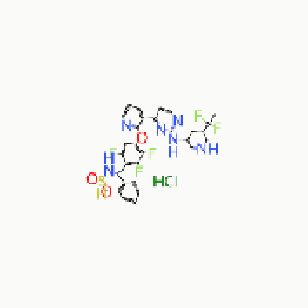 CC(F)(F)C1CNCC(Nc2nccc(-c3cccnc3Oc3cc(F)c(C(N[SH](=O)=O)c4ccccc4)c(F)c3F)n2)C1.Cl